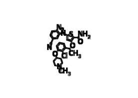 CC(Oc1cc(-n2cnc3ccc(C#N)cc32)sc1C(N)=O)c1cccc(OC2CCN(C)CC2)c1Cl